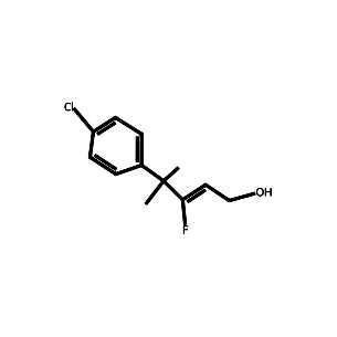 CC(C)(C(F)=CCO)c1ccc(Cl)cc1